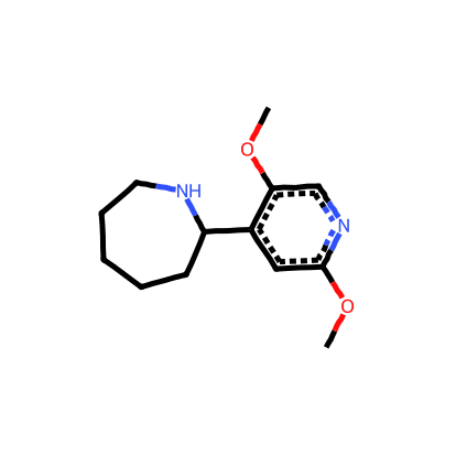 COc1cc(C2CCCCCN2)c(OC)cn1